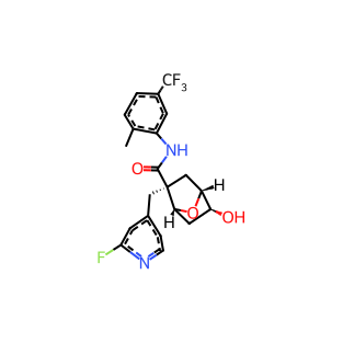 Cc1ccc(C(F)(F)F)cc1NC(=O)[C@@]1(Cc2ccnc(F)c2)C[C@H]2O[C@@H]1C[C@@H]2O